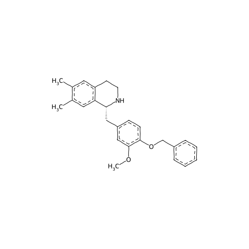 COc1cc(C[C@H]2NCCc3cc(C)c(C)cc32)ccc1OCc1ccccc1